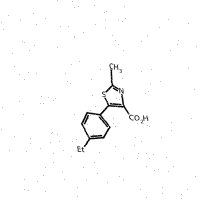 CCc1ccc(-c2sc(C)nc2C(=O)O)cc1